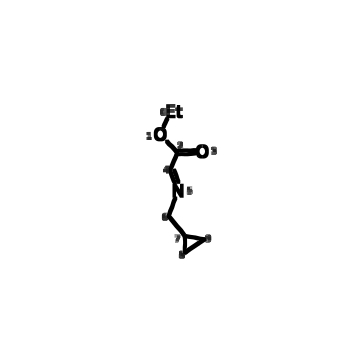 CCOC(=O)/C=N/CC1CC1